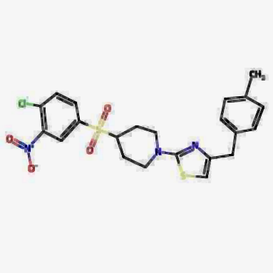 Cc1ccc(Cc2csc(N3CCC(S(=O)(=O)c4ccc(Cl)c([N+](=O)[O-])c4)CC3)n2)cc1